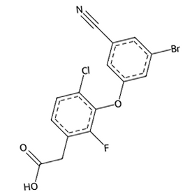 N#Cc1cc(Br)cc(Oc2c(Cl)ccc(CC(=O)O)c2F)c1